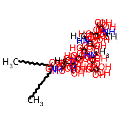 CCCCCCCCCCCCC/C=C/[C@@H](O)[C@H](CO[C@@H]1OC(CO)[C@@H](O[C@@H]2OC(CO)[C@H](O)[C@H](O[C@@H]3OC(CO)[C@@H](O[C@@H]4OC(CO[C@@H]5OC(CO)[C@@H](O[C@@H]6OC(CO)[C@H](O)[C@H](O)C6O)[C@H](O)C5NC(C)=O)[C@H](O)[C@H](O[C@@H]5OC(CO)[C@@H](O[C@@H]6OC(CO)[C@H](O)[C@H](O[C@H]7OC(CO)[C@H](O)[C@H](O)C7NC(C)=O)C6O)[C@H](O)C5NC(C)=O)C4O)[C@H](O)C3NC(C)=O)C2O)[C@H](O)C1O)NC(=O)CCCCCCCCCCCCCCC